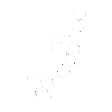 Cc1cc(N2CCN(C(=O)c3cnc4c(n3)C(C)(C)CN4c3ccc(F)c(F)c3)C(C)(C)C2)nc(C)c1C(=O)O